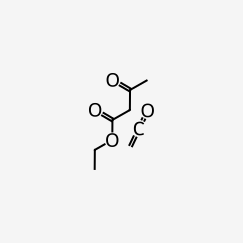 C=C=O.CCOC(=O)CC(C)=O